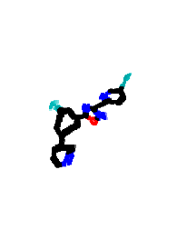 Fc1ccc(-c2noc(-c3cc(F)cc(-c4cccnc4)c3)n2)nc1